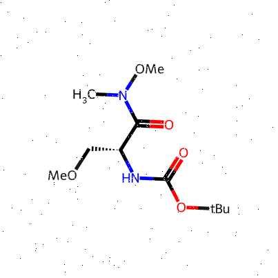 COC[C@@H](NC(=O)OC(C)(C)C)C(=O)N(C)OC